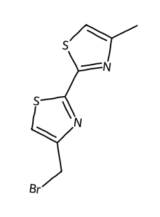 Cc1csc(-c2nc(CBr)cs2)n1